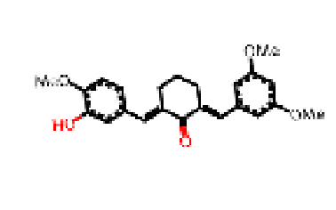 COc1cc(C=C2CCCC(=Cc3ccc(OC)c(O)c3)C2=O)cc(OC)c1